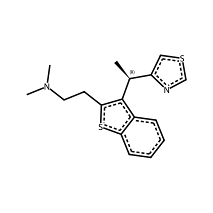 C[C@@H](c1cscn1)c1c(CCN(C)C)sc2ccccc12